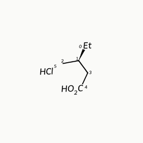 CC[C@H](C)CC(=O)O.Cl